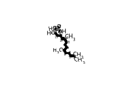 CC(C)=CCCC(C)=CCCC(C)=CCCC(O)P(=O)(O)O